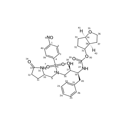 O=Nc1ccc(S(=O)(=O)N(CC2CCC(=O)N2)C[C@@H](O)[C@H](Cc2ccccc2)NC(=O)OC2CC[C@H]3OCC[C@@H]23)cc1